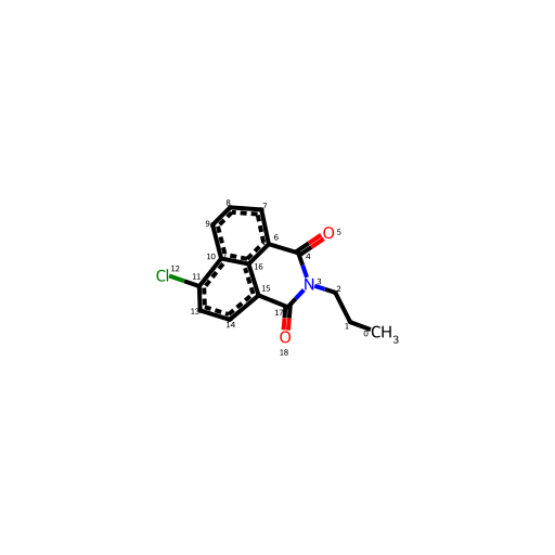 CCCN1C(=O)c2cccc3c(Cl)ccc(c23)C1=O